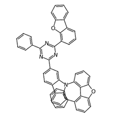 c1ccc(-c2nc(-c3ccc4c5ccccc5n(-c5cccc6oc7cccc(-c8ccccc8)c7c56)c4c3)nc(-c3cccc4c3oc3ccccc34)n2)cc1